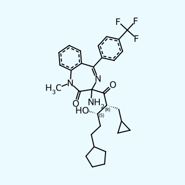 CN1C(=O)C(N)(C(=O)[C@H](CC2CC2)[C@@H](O)CCC2CCCC2)N=C(c2ccc(C(F)(F)F)cc2)c2ccccc21